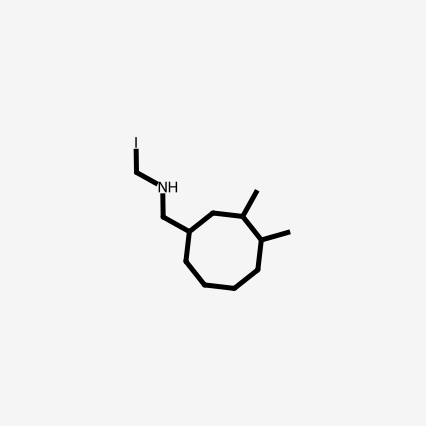 CC1CCCCC(CNCI)CC1C